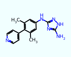 Cc1cc(Nc2n[nH]c(N)n2)cc(C)c1-c1ccncc1